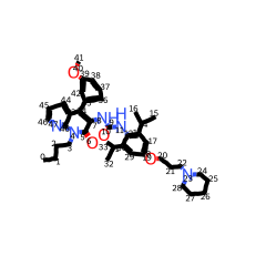 CCCCn1c(=O)c(NC(=O)Nc2c(C(C)C)cc(OCCCN3CCCCC3)cc2C(C)C)c(-c2cccc(OC)c2)c2cccnc21